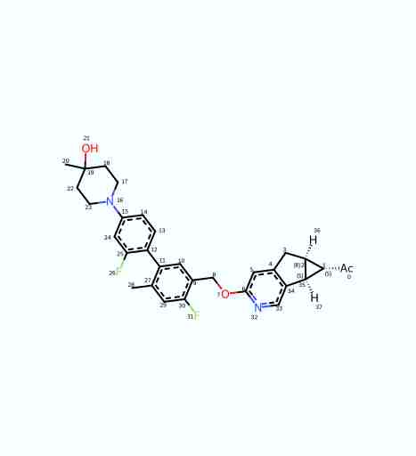 CC(=O)[C@H]1[C@@H]2Cc3cc(OCc4cc(-c5ccc(N6CCC(C)(O)CC6)cc5F)c(C)cc4F)ncc3[C@@H]21